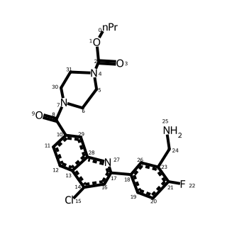 CCCOC(=O)N1CCN(C(=O)c2ccc3c(Cl)cc(-c4ccc(F)c(CN)c4)nc3c2)CC1